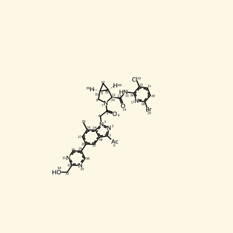 CC(=O)c1nn(CC(=O)N2C[C@H]3C[C@H]3[C@H]2C(=O)Nc2nc(Br)ccc2Cl)c2c(C)cc(-c3cnc(CO)nc3)cc12